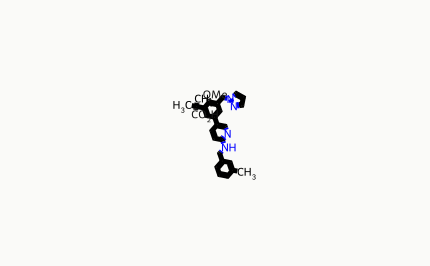 COc1c(Cn2cccn2)cc(-c2ccc(NCc3cccc(C)c3)nc2)cc1C(C)(C)C(=O)O